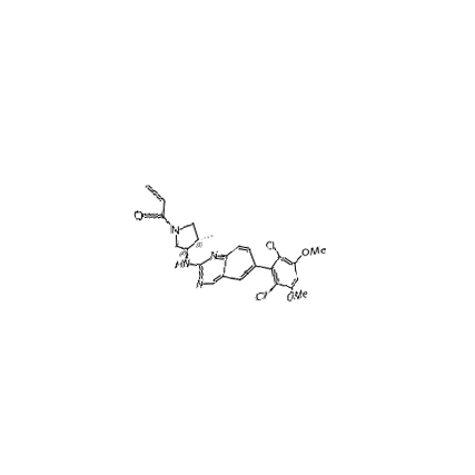 C=CC(=O)N1C[C@H](Nc2ncc3cc(-c4c(Cl)c(OC)cc(OC)c4Cl)ccc3n2)[C@@H](C)C1